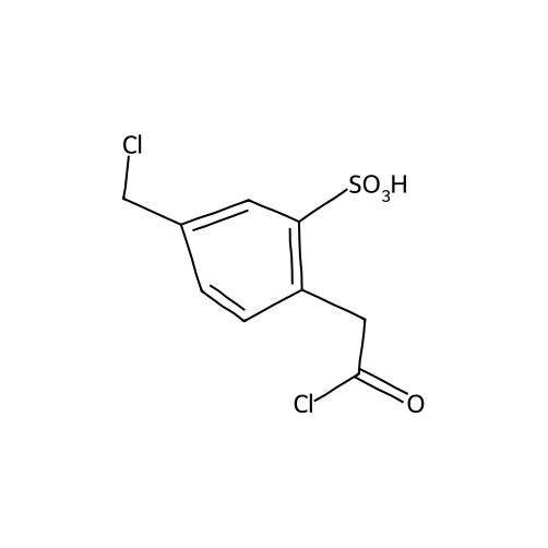 O=C(Cl)Cc1ccc(CCl)cc1S(=O)(=O)O